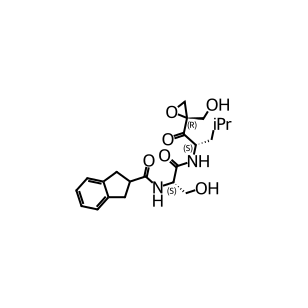 CC(C)C[C@H](NC(=O)[C@H](CO)NC(=O)C1Cc2ccccc2C1)C(=O)[C@@]1(CO)CO1